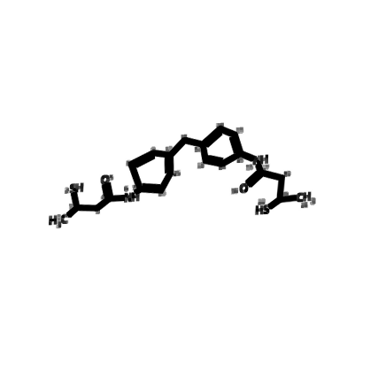 CC(S)CC(=O)Nc1ccc(Cc2ccc(NC(=O)CC(C)S)cc2)cc1